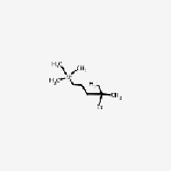 CCC(C)(C)CCC[N+](C)(C)C